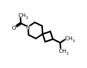 CC(=O)N1CCC2(CC1)CC(C(C)C)C2